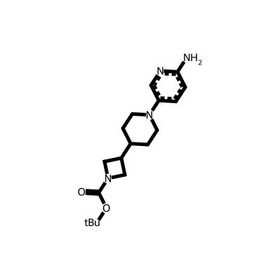 CC(C)(C)OC(=O)N1CC(C2CCN(c3ccc(N)nc3)CC2)C1